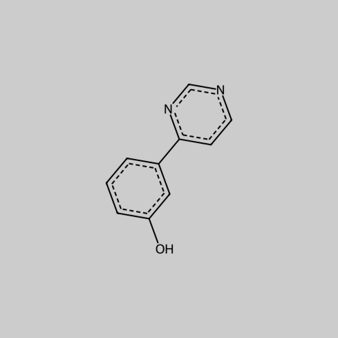 Oc1cccc(-c2ccncn2)c1